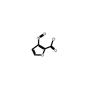 O=Nc1ccoc1C(=O)Cl